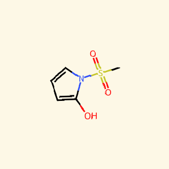 CS(=O)(=O)n1cccc1O